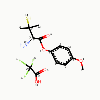 COc1ccc(OC(=O)[C@H](N)C(C)(C)S)cc1.O=C(O)C(F)(F)F